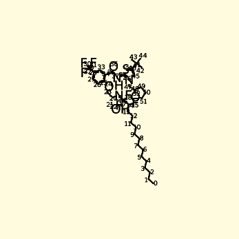 CCCCCCCCCCCCCCC(F)C(F)(F)N[C@H](CO)COc1ccc(C(F)(F)F)cc1C(=O)/N=c1\sc(C(C)(C)C)cn1C[C@H]1CCCO1